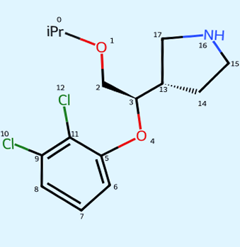 CC(C)OC[C@H](Oc1cccc(Cl)c1Cl)[C@H]1CCNC1